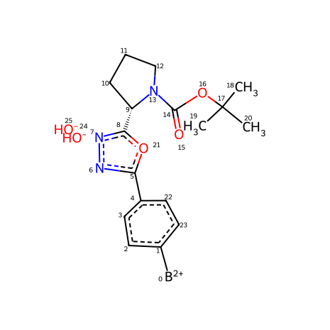 [B+2]c1ccc(-c2nnc([C@@H]3CCCN3C(=O)OC(C)(C)C)o2)cc1.[OH-].[OH-]